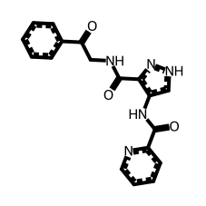 O=C(CNC(=O)c1n[nH]cc1NC(=O)c1ccccn1)c1ccccc1